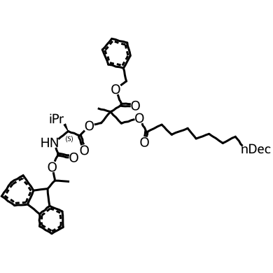 CCCCCCCCCCCCCCCCCC(=O)OCC(C)(COC(=O)[C@@H](NC(=O)OC(C)C1c2ccccc2-c2ccccc21)C(C)C)C(=O)OCc1ccccc1